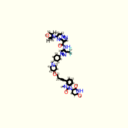 Cn1c(=O)n(C2CCC(=O)NC2=O)c2cccc(C#CCCOC3CCN(C[C@H]4CC[C@H](n5cc(NC(=O)c6cnn7ccc(N8C[C@H]9C[C@@H]8CO9)nc67)c(C(F)F)n5)CC4)CC3)c21